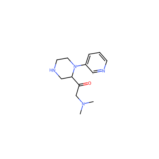 CN(C)CC(=O)C1CNCCN1c1[c]nccc1